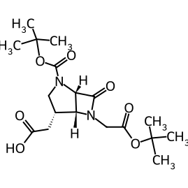 CC(C)(C)OC(=O)CN1C(=O)[C@@H]2[C@H]1[C@H](CC(=O)O)CN2C(=O)OC(C)(C)C